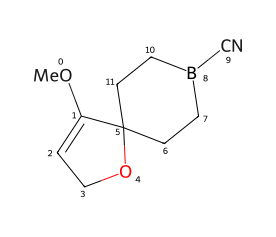 COC1=CCOC12CCB(C#N)CC2